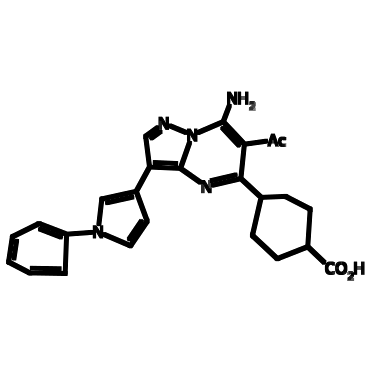 CC(=O)c1c(C2CCC(C(=O)O)CC2)nc2c(-c3ccn(-c4ccccc4)c3)cnn2c1N